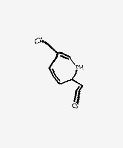 O=CC1C=CC(Cl)=CP1